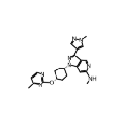 CNc1cc2c(cn1)c(-c1cnn(C)c1)nn2[C@H]1CC[C@@H](Oc2nccc(C)n2)CC1